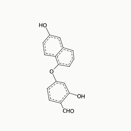 O=Cc1ccc(Oc2cccc3cc(O)ccc23)cc1O